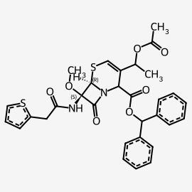 CO[C@@]1(NC(=O)Cc2cccs2)C(=O)N2C(C(=O)OC(c3ccccc3)c3ccccc3)C(C(C)OC(C)=O)=CS[C@@H]21